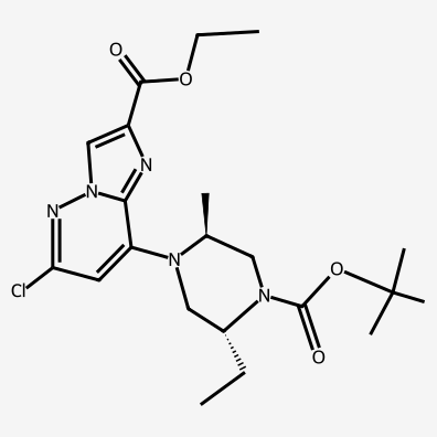 CCOC(=O)c1cn2nc(Cl)cc(N3C[C@@H](CC)N(C(=O)OC(C)(C)C)C[C@@H]3C)c2n1